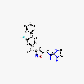 CC(c1ccc(-c2ccccc2)c(F)c1)c1cc(CNC2=NCCN2)on1